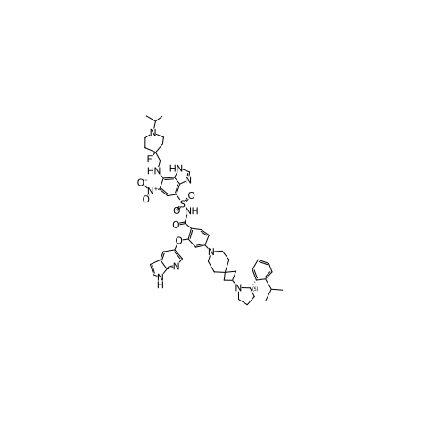 CC(C)c1ccccc1[C@@H]1CCCN1C1CC2(CCN(c3ccc(C(=O)NS(=O)(=O)c4cc([N+](=O)[O-])c(NCC5(F)CCN(C(C)C)CC5)c5[nH]cnc45)c(Oc4cnc5[nH]ccc5c4)c3)CC2)C1